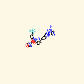 Cc1ccc(C(=O)Nc2cc(C(F)(F)F)ccc2OCCN2CCOCC2)cc1-c1ccc2nc(NC3CCN(C)CC3)ncc2c1